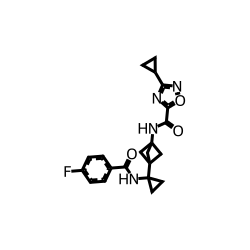 O=C(NC1(C23CC(NC(=O)c4nc(C5CC5)no4)(C2)C3)CC1)c1ccc(F)cc1